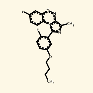 CCCCOc1ccc(F)c(-c2nc(C)c3nnc4cc(F)ccc4n23)c1